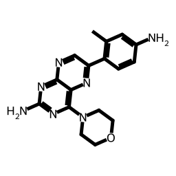 Cc1cc(N)ccc1-c1cnc2nc(N)nc(N3CCOCC3)c2n1